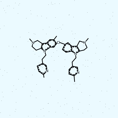 Cc1ccc(CCn2c3c(c4cc(Cl)ccc42)CN(C)CC3)cn1.Cc1ccc2c(c1)c1c(n2CCc2ccc(C)nc2)CCN(C)C1